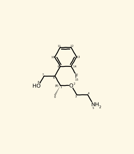 C[C@@H](OCCN)C(CO)c1ccccc1F